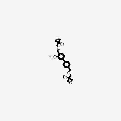 CCC1(COCc2ccc(-c3ccc(COCC4(CC)COC4)c(C)c3)cc2)COC1